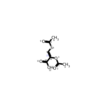 CC(=O)O/C(=C\SC(C)=O)C(=O)O